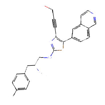 N[C@H](CNc1nc(C#CCO)c(-c2ccc3cnccc3c2)s1)Cc1ccc(C(F)(F)F)cc1